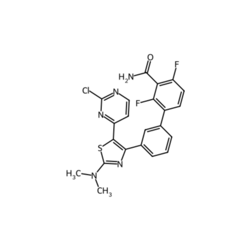 CN(C)c1nc(-c2cccc(-c3ccc(F)c(C(N)=O)c3F)c2)c(-c2ccnc(Cl)n2)s1